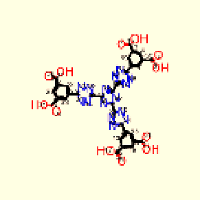 O=C(O)c1cc(C(=O)O)cc(-c2nnc(-c3nc(-c4nnc(-c5cc(C(=O)O)cc(C(=O)O)c5)nn4)nc(-c4nnc(-c5cc(C(=O)O)cc(C(=O)O)c5)nn4)n3)nn2)c1